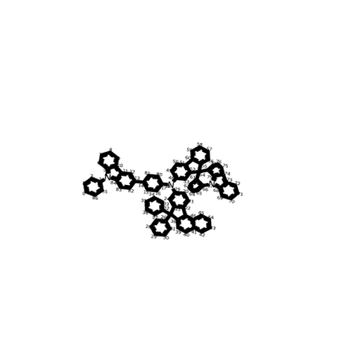 c1ccc(-n2c3ccccc3c3cc(-c4ccc(N(c5ccc6c(c5)C(c5ccccc5)(c5ccccc5)c5ccc7ccccc7c5-6)c5ccc6c(c5)C5(c7ccccc7-6)c6ccccc6-n6c7ccccc7c7cccc5c76)cc4)ccc32)cc1